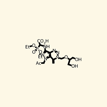 C=C1c2c(c(NC(C(=O)O)P(=O)(OCC)OCC)nn2CC(C)=O)N=NN1COC(CO)CO